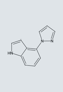 [c]1c[nH]c2cccc(-n3cccn3)c12